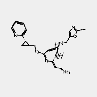 Cc1ncc(CNC2=CC(OCC3C[C@@H]3c3ccccn3)=N/C(=C/C=N)N2)s1